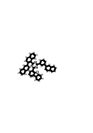 c1cc(-c2ccc3ccccc3c2)cc(-c2nc(-c3c(-c4ccc5ccccc5c4)ccc4ccccc34)nc(-c3cccc4c3oc3ccccc34)n2)c1